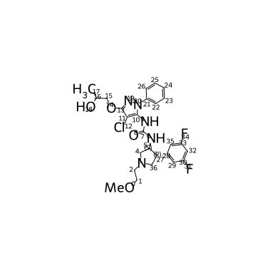 COCCN1C[C@@H](NC(=O)Nc2c(Cl)c(OCC(C)O)nn2-c2ccccc2)[C@H](c2cc(F)cc(F)c2)C1